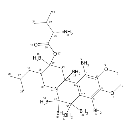 Bc1c(OC)c(OC)c(B)c2c1C1(B)CC(B)(OC(=O)[C@@H](N)C(C)C)C(CC(C)C)CN1C(B)(B)C2(B)B